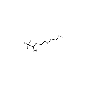 CCCOCCCC(O)C(F)(F)F